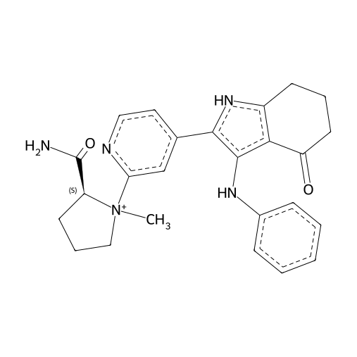 C[N+]1(c2cc(-c3[nH]c4c(c3Nc3ccccc3)C(=O)CCC4)ccn2)CCC[C@H]1C(N)=O